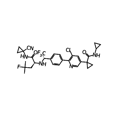 CC(C)(F)C[C@H](N[C@@H](c1ccc(-c2ncc(C3(C(=O)NC4CC4)CC3)cc2Cl)cc1)C(F)(F)F)C(=O)NC1(C#N)CC1